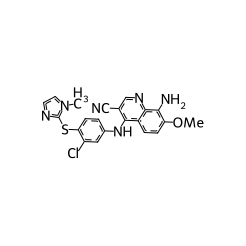 COc1ccc2c(Nc3ccc(Sc4nccn4C)c(Cl)c3)c(C#N)cnc2c1N